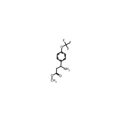 COC(=O)CC(N)c1ccc(OC(F)(F)F)cc1